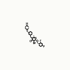 Cc1nc(OCc2ccc(F)cc2F)c(Br)c(=O)n1Cc1cccc(CN2CCNCC2)c1